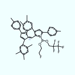 Cc1ccc(C2=N/C(=C\c3c(-c4cc(C)c(C)cc4C)cc(-c4ccc(C)cc4)n3B(OCCF)OCC(F)(F)C(F)(F)F)C(c3cc(C)c(C)cc3C)=C2)cc1